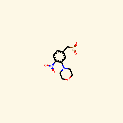 O=[N+]([O-])c1ccc(C[SH](=O)=O)cc1N1CCOCC1